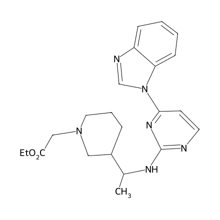 CCOC(=O)CN1CCCC(C(C)Nc2nccc(-n3cnc4ccccc43)n2)C1